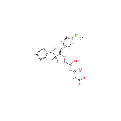 CC1(C)C(/C=C/C(O)CC(O)CC(=O)[O-])=C(c2ccc(F)cc2)CC1c1ccccc1.[Na+]